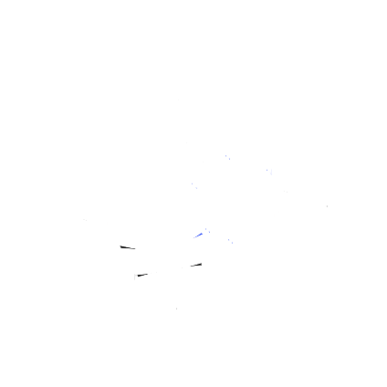 CC(C)(C)OC(=O)N(c1nc(COC2CCCCO2)nc2c1cnn2[C@@H]1O[C@H](COC(=O)c2ccccc2)[C@H]2OC(C)(C)O[C@H]21)C1CCCC1